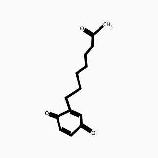 CC(=O)CCCCCCC1=CC(=O)C=CC1=O